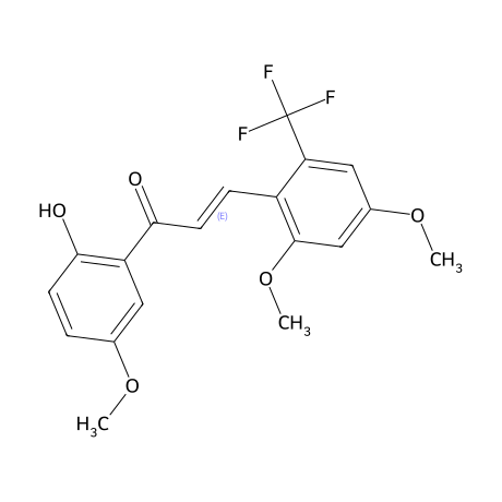 COc1ccc(O)c(C(=O)/C=C/c2c(OC)cc(OC)cc2C(F)(F)F)c1